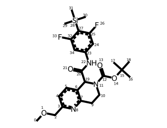 COCc1ccc2c(n1)CCN(C(=O)OC(C)(C)C)C2C(=O)Nc1cc(F)c([Si](C)(C)C)c(F)c1